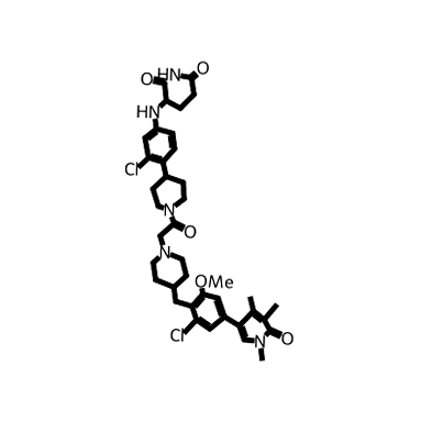 COc1cc(-c2cn(C)c(=O)c(C)c2C)cc(Cl)c1CC1CCN(CC(=O)N2CCC(c3ccc(NC4CCC(=O)NC4=O)cc3Cl)CC2)CC1